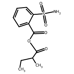 CCC(C)C(=O)OC(=O)c1ccccc1S(N)(=O)=O